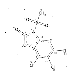 CS(=O)(=O)n1c(=O)oc2c(Cl)c(Cl)c(Cl)cc21